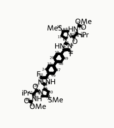 COC(=O)N[C@H](C(=O)N1C[C@@H](SC)C[C@H]1c1nc(F)c(-c2ccc(-c3ccc(-c4[nH]c([C@@H]5C[C@H](SC)CN5C(=O)[C@@H](NC(=O)OC)C(C)C)nc4F)cc3)cc2)[nH]1)C(C)C